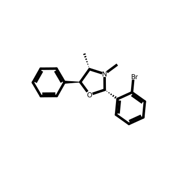 C[C@H]1[C@H](c2ccccc2)O[C@@H](c2ccccc2Br)N1C